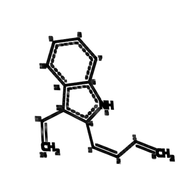 C=C/C=C\c1[nH]c2ccccc2c1C=C